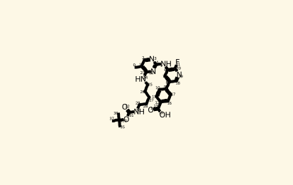 Cc1cnc(Nc2cc(-c3ccc(C(=O)O)cc3)cnc2F)nc1NCCCCCNC(=O)OC(C)(C)C